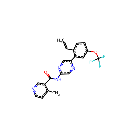 C=Cc1ccc(OC(F)(F)F)cc1-c1cnc(NC(=O)c2cnccc2C)cn1